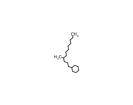 CCCCCCCCC(C)CCCC1CCCCC1